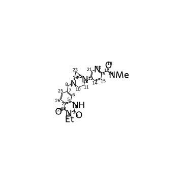 CCn1c(=O)[nH]c2cc(CN3CCN(c4ccc(C(=O)NC)nc4)C4CC43)ccc2c1=O